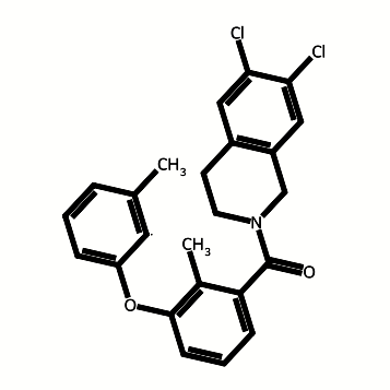 Cc1[c]c(Oc2cccc(C(=O)N3CCc4cc(Cl)c(Cl)cc4C3)c2C)ccc1